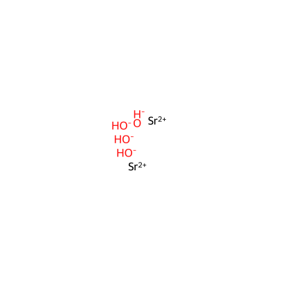 [OH-].[OH-].[OH-].[OH-].[Sr+2].[Sr+2]